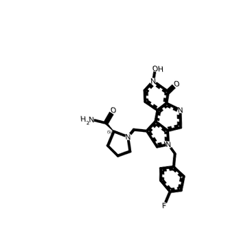 NC(=O)[C@@H]1CCCN1Cc1cn(Cc2ccc(F)cc2)c2cnc3c(=O)n(O)ccc3c12